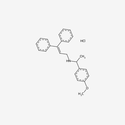 COc1ccc(C(C)NCC=C(c2ccccc2)c2ccccc2)cc1.Cl